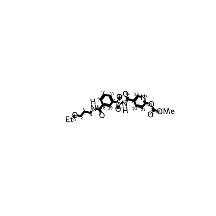 CCOCCCNC(=O)c1cccc(S(=O)(=O)NC(=O)c2ccc(OC(=O)OC)nc2)c1